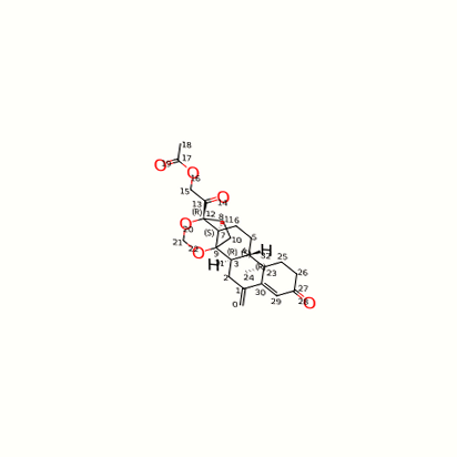 C=C1C[C@@H]2[C@H](CC[C@@]3(C)C24CC[C@@]3(C(=O)COC(C)=O)OCO4)[C@@]2(C)CCC(=O)C=C12